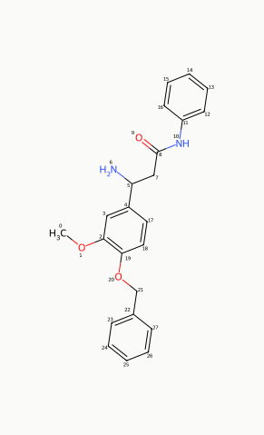 COc1cc(C(N)CC(=O)Nc2ccccc2)ccc1OCc1ccccc1